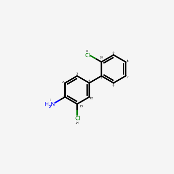 Nc1ccc(-c2ccccc2Cl)cc1Cl